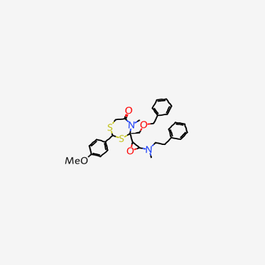 COc1ccc(C2SCC(=O)N(C)[C@](COCc3ccccc3)(C3OC3N(C)CCc3ccccc3)S2)cc1